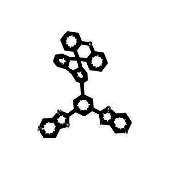 c1ccc2c(c1)Oc1ccccc1C21c2ccccc2-c2cc(-c3cc(-c4nc5cnccc5o4)cc(-c4nc5cnccc5o4)c3)ccc21